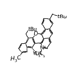 Cc1ccc2c(CC(C)(C)C)c3c(c(C)c2c1)-c1c2c(c4ccc(CC(C)(C)C)cc4cc2cc[n+]1C)O3